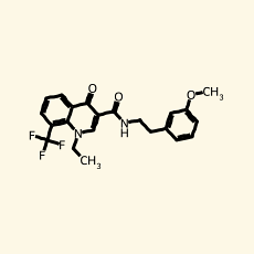 CCn1cc(C(=O)NCCc2cccc(OC)c2)c(=O)c2cccc(C(F)(F)F)c21